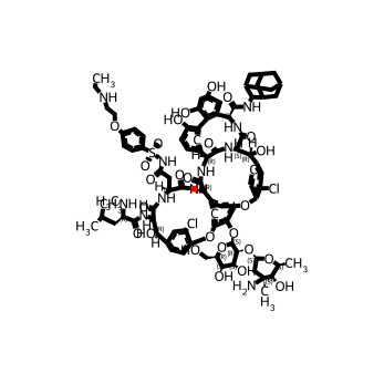 CCNCCOc1ccc(S(=O)(=O)NC(=O)C[C@@H]2NC(=O)[C@H](NC(=O)[C@@H](CC(C)C)NC)[C@H](O)c3ccc(c(Cl)c3)Oc3cc4cc(c3O[C@@H]3O[C@H](CO)[C@@H](O)[C@H](O)[C@H]3O[C@H]3C[C@](C)(N)[C@H](O)[C@H](C)O3)Oc3ccc(cc3Cl)[C@@H](O)[C@@H]3NC(=O)[C@H](NC(=O)[C@@H]4NC2=O)c2ccc(O)c(c2)-c2c(O)cc(O)cc2[C@@H](C(=O)NC2C4CC5CC(C4)CC2C5)NC3=O)cc1